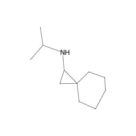 CC(C)NC1CC12CCCCC2